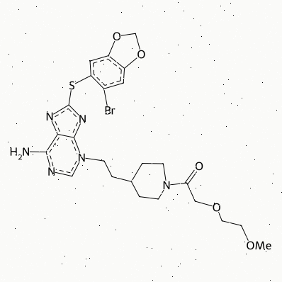 COCCOCC(=O)N1CCC(CCn2cnc(N)c3nc(Sc4cc5c(cc4Br)OCO5)nc2-3)CC1